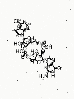 Nc1nc2c(ncn2[C@@H]2O[C@@H]3COP(=O)(O)O[C@H]4[C@@H](O)[C@H](n5ccc6c(Cl)ncnc65)O[C@@H]4COP(=O)(O)O[C@@H]2[C@@H]3O)c(=O)[nH]1